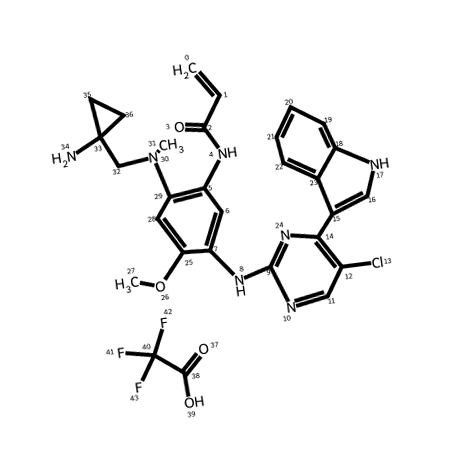 C=CC(=O)Nc1cc(Nc2ncc(Cl)c(-c3c[nH]c4ccccc34)n2)c(OC)cc1N(C)CC1(N)CC1.O=C(O)C(F)(F)F